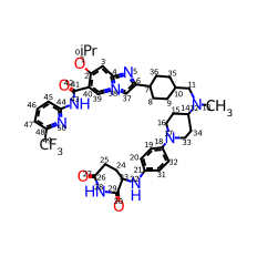 CC(C)Oc1cc2nc(C3CCC(CN(C)C4CCN(c5ccc(NC6CCC(=O)NC6=O)cc5)CC4)CC3)cn2cc1C(=O)Nc1cccc(C(F)(F)F)n1